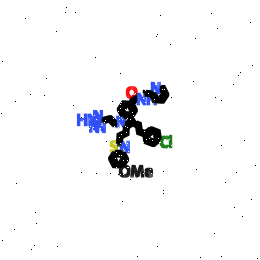 COc1ccc2sc(CCc3c(CCc4ccc(Cl)cc4)c4cc(C(=O)NCc5ccccn5)ccc4n3CCc3nn[nH]n3)nc2c1